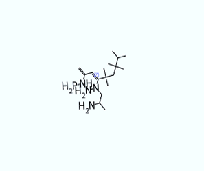 C=C(/C=C(\N(N)CC(C)N)C(C)(C)CC(C)(C)C(C)C)NP